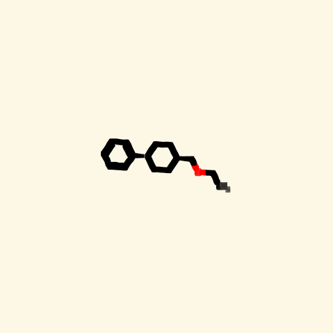 CCOC[C@H]1CC[C@H](c2ccccc2)CC1